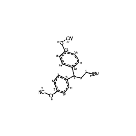 CCC(C)CCC(c1ccc(OC#N)cc1)c1ccc(OC#N)cc1